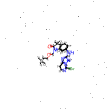 CC1(C)C(=O)N(COCC[Si](C)(C)C)c2cc(Nc3nc4ccnc(Br)n4n3)ccc21